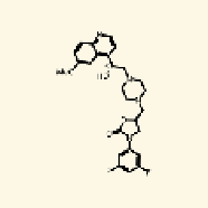 COc1ccc2nccc([C@@H](O)CN3CCN(CC4CN(c5cc(F)cc(F)c5)C(=O)O4)CC3)c2c1